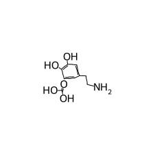 NCCc1ccc(O)c(O)c1.O=C(O)O